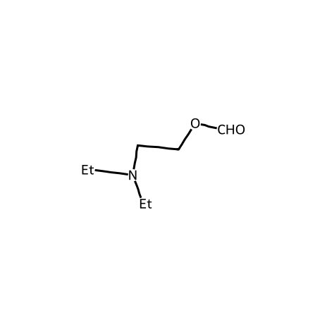 CCN(CC)CCOC=O